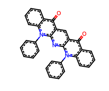 O=c1c2ccccc2n(-c2ccccc2)c2nc3c(cc12)c(=O)c1ccccc1n3-c1ccccc1